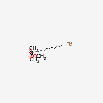 CO[Si](CCCCCCCCCCCCCBr)(OC)OC